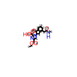 CCOC(=O)c1cn(C2Cc3c(CC(=O)NC)cccc3C2=O)c(C(=O)O)n1